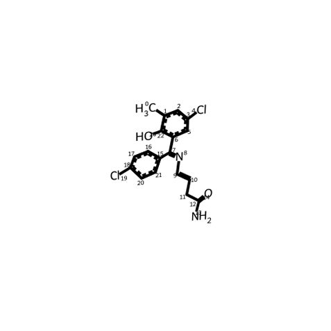 Cc1cc(Cl)cc(C(=NC=CCC(N)=O)c2ccc(Cl)cc2)c1O